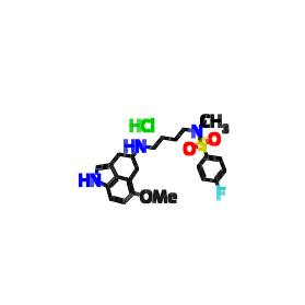 COc1ccc2[nH]cc3c2c1CC(NCCCCN(C)S(=O)(=O)c1ccc(F)cc1)C3.Cl